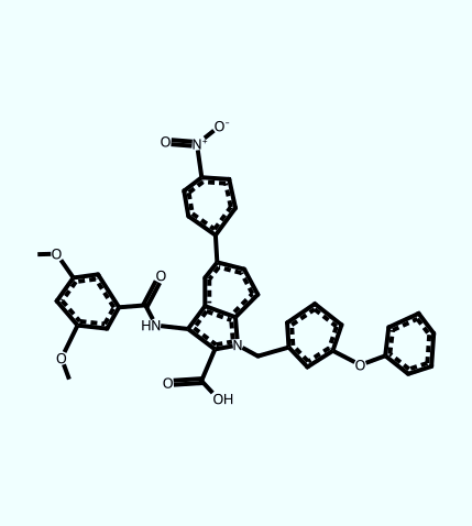 COc1cc(OC)cc(C(=O)Nc2c(C(=O)O)n(Cc3cccc(Oc4ccccc4)c3)c3ccc(-c4ccc([N+](=O)[O-])cc4)cc23)c1